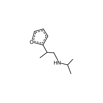 CC(C)NCC(C)c1ccco1